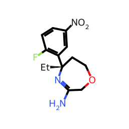 CC[C@@]1(c2cc([N+](=O)[O-])ccc2F)CCOCC(N)=N1